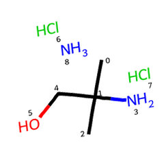 CC(C)(N)CO.Cl.Cl.N